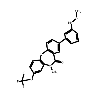 CSNc1cccc(-c2ccc3c(c2)C(=O)N(C)c2cc(OC(F)(F)F)ccc2O3)c1